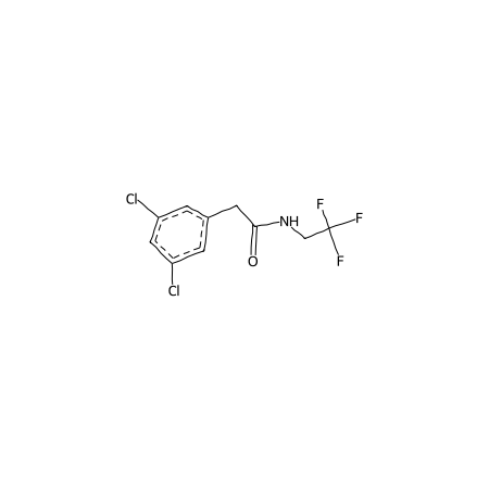 O=C(Cc1cc(Cl)cc(Cl)c1)NCC(F)(F)F